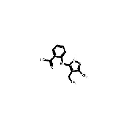 CCc1c(C)n[nH]c1Nc1ccccc1C(=O)O